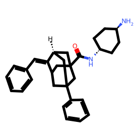 N[C@H]1CC[C@H](NC(=O)C23CC4CC(c5ccccc5)(C[C@H](C2)/C4=C/c2ccccc2)C3)CC1